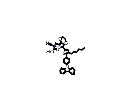 CCCCCCc1cc(-c2sc(/C=C(/C#N)C(=O)O)c3c2OCCO3)sc1-c1ccc(-n2c3ccccc3c3ccccc32)cc1